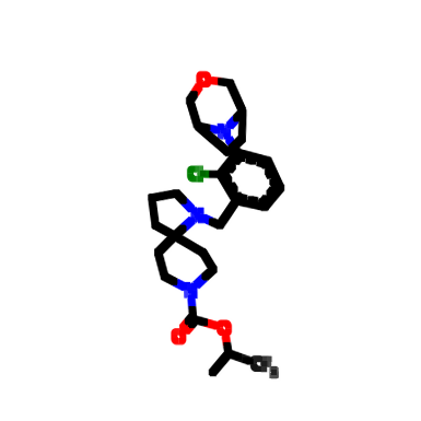 CC(OC(=O)N1CCC2(CCCN2Cc2cccc(N3C4CCC3COC4)c2Cl)CC1)C(F)(F)F